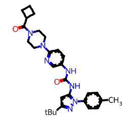 Cc1ccc(-n2nc(C(C)(C)C)cc2NC(=O)Nc2ccc(N3CCN(C(=O)C4CCC4)CC3)nc2)cc1